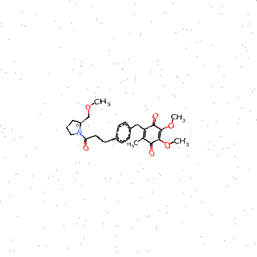 COC[C@@H]1CCCN1C(=O)CCc1ccc(CC2=C(C)C(=O)C(OC)=C(OC)C2=O)cc1